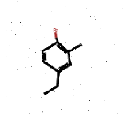 CCc1c[c]c(Br)c(C)c1